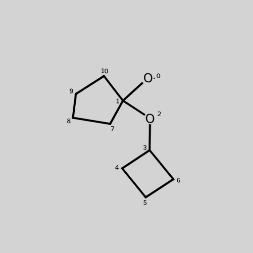 [O]C1(OC2CCC2)CCCC1